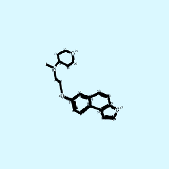 CN(CCOc1ccc2c(ccc3occc32)c1)C1CCOCC1